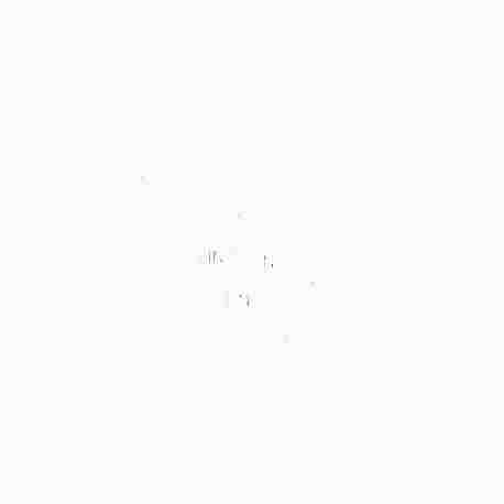 COc1ccc2[nH]c(NC(=O)c3ccccc3)nc2c1